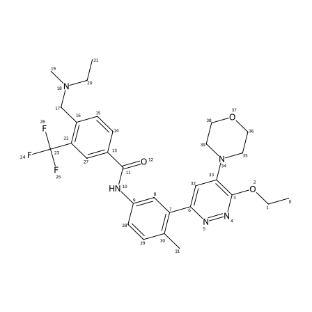 CCOc1nnc(-c2cc(NC(=O)c3ccc(CN(C)CC)c(C(F)(F)F)c3)ccc2C)cc1N1CCOCC1